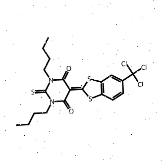 CCCCN1C(=O)C(=C2Sc3ccc(C(Cl)(Cl)Cl)cc3S2)C(=O)N(CCCC)C1=S